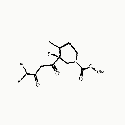 CC1CCN(C(=O)OC(C)(C)C)CC1(F)C(=O)CC(=O)C(F)F